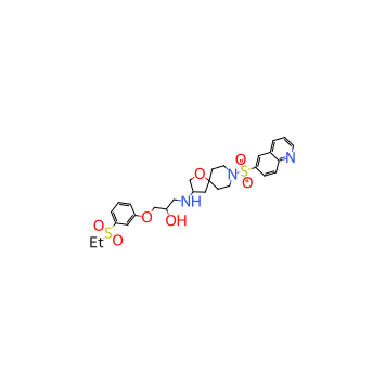 CCS(=O)(=O)c1cccc(OCC(O)CNC2COC3(CCN(S(=O)(=O)c4ccc5ncccc5c4)CC3)C2)c1